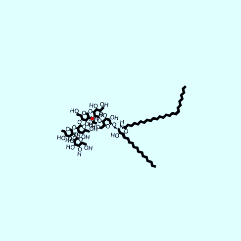 CCCCCCCC/C=C\CCCCCCCCCCCCCCCC(=O)N[C@@H](CO[C@@H]1OC(CO)[C@@H](O[C@@H]2OC(CO)[C@H](O)[C@H](O[C@@H]3OC(CO)[C@@H](O[C@@H]4OC(CO)[C@H](O)[C@H](O[C@H]5OC(CO)[C@H](O)[C@H](O)C5O)C4O[C@H]4OC(C)[C@@H](O)C(O)[C@@H]4O)[C@H](O)C3NC(C)=O)C2O)[C@H](O)C1O)[C@H](O)/C=C/CCCCCCCCCCCCC